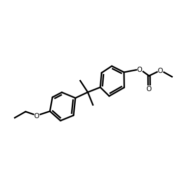 CCOc1ccc(C(C)(C)c2ccc(OC(=O)OC)cc2)cc1